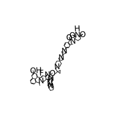 CCc1cccc2cc(O)cc(-c3ncc4c(N5CC6CCC(C5)N6)nc(OCC5(CN6CCC7(CC6)CN(C6CN(c8ccc9c(c8)CN(C8CCC(=O)NC8=O)C9=O)C6)C7)CC5)nc4c3F)c12